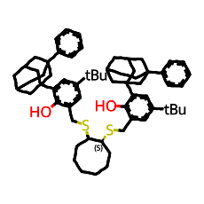 CC(C)(C)c1cc(CSC2CCCCCC[C@@H]2SCc2cc(C(C)(C)C)cc(C34CC5CC(CC(c6ccccc6)(C5)C3)C4)c2O)c(O)c(C23CC4CC(CC(c5ccccc5)(C4)C2)C3)c1